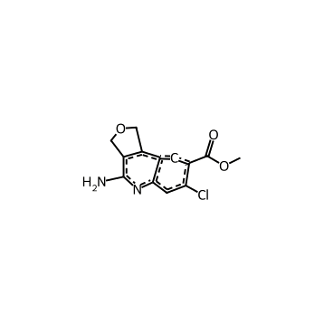 COC(=O)c1cc2c3c(c(N)nc2cc1Cl)COC3